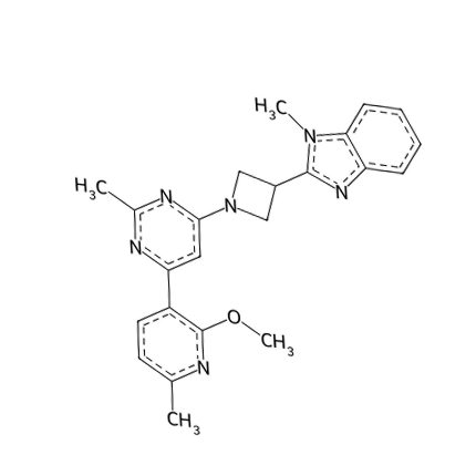 COc1nc(C)ccc1-c1cc(N2CC(c3nc4ccccc4n3C)C2)nc(C)n1